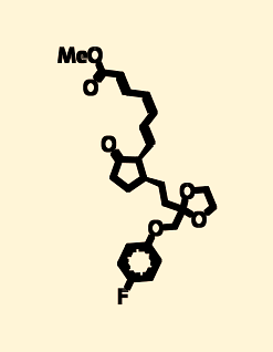 COC(=O)C=C/C=C\C=C[C@@H]1C(=O)CC[C@@H]1CCC1(COc2ccc(F)cc2)OCCO1